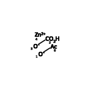 CC(=O)[O-].O=C([O-])O.[Zn+2]